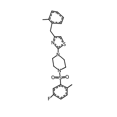 Cc1ccccc1Cc1csc(N2CCN(S(=O)(=O)c3cc(F)ccc3C)CC2)n1